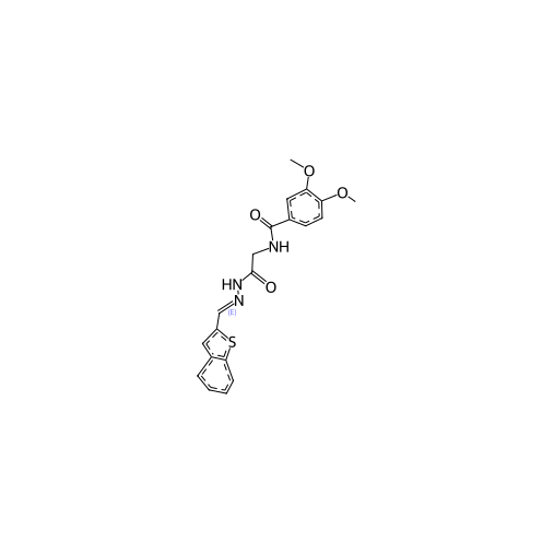 COc1ccc(C(=O)NCC(=O)N/N=C/c2cc3ccccc3s2)cc1OC